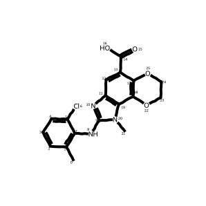 Cc1cccc(Cl)c1Nc1nc2cc(C(=O)O)c3c(c2n1C)OCCO3